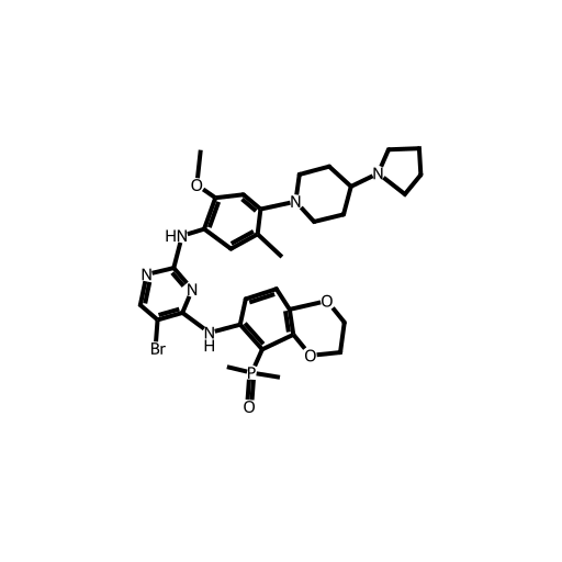 COc1cc(N2CCC(N3CCCC3)CC2)c(C)cc1Nc1ncc(Br)c(Nc2ccc3c(c2P(C)(C)=O)OCCO3)n1